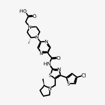 C[C@@H]1CCCN1Cc1sc(NC(=O)c2cnc(N3CCN(CC(=O)O)C[C@H]3C)cn2)nc1-c1cc(Cl)cs1